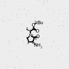 C[C@@H](C(=O)OC(C)(C)C)N1CC[C@H](N)C1=O